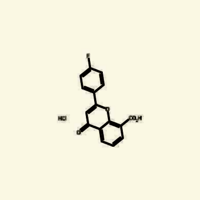 Cl.O=C(O)c1cccc2c(=O)cc(-c3ccc(F)cc3)oc12